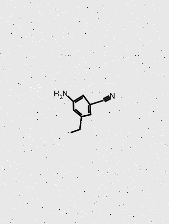 [CH2]Cc1cc(N)cc(C#N)c1